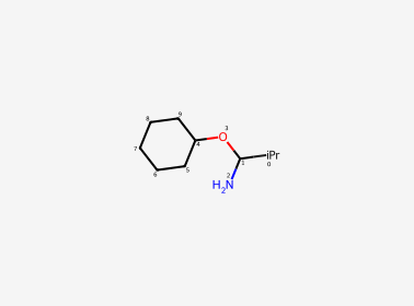 CC(C)C(N)OC1CCCCC1